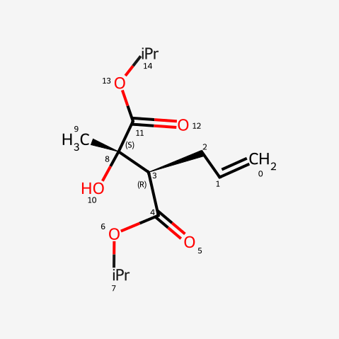 C=CC[C@@H](C(=O)OC(C)C)[C@](C)(O)C(=O)OC(C)C